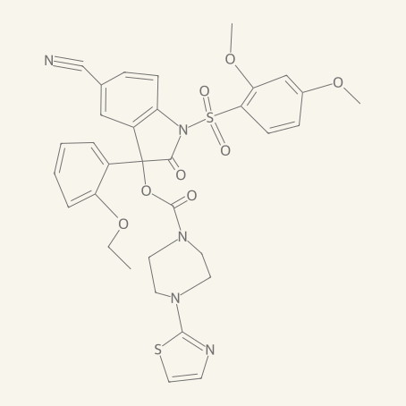 CCOc1ccccc1C1(OC(=O)N2CCN(c3nccs3)CC2)C(=O)N(S(=O)(=O)c2ccc(OC)cc2OC)c2ccc(C#N)cc21